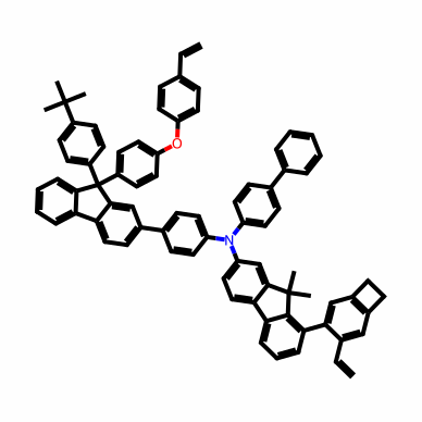 C=Cc1ccc(Oc2ccc(C3(c4ccc(C(C)(C)C)cc4)c4ccccc4-c4ccc(-c5ccc(N(c6ccc(-c7ccccc7)cc6)c6ccc7c(c6)C(C)(C)c6c(-c8cc9c(cc8C=C)CC9)cccc6-7)cc5)cc43)cc2)cc1